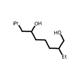 CCC(CO)CCCC(O)CC(C)C